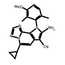 COc1ccc(C)c(-n2c(N)c(C#N)c3cc(C4CC4)n4ncnc4c32)c1C